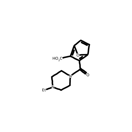 CCN1CCN(C(=O)c2c(C(=O)O)c3ccc2o3)CC1